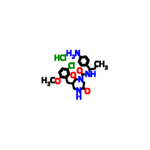 CCC(NC(=O)N1CC(=O)NCC(Cc2cc(Cl)ccc2OC)C1=O)c1ccc(N)cc1.Cl